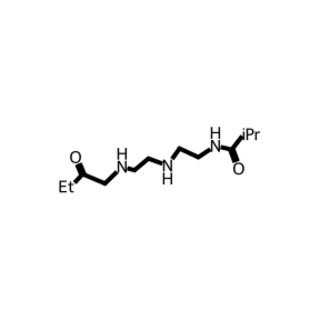 CCC(=O)CNCCNCCNC(=O)C(C)C